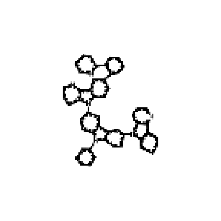 c1ccc(-n2c3ccc(-n4c5ccccc5c5ncccc54)cc3c3cc(-n4c5ccc(-c6ccccc6-c6ccccn6)cc5c5ncccc54)ccc32)cc1